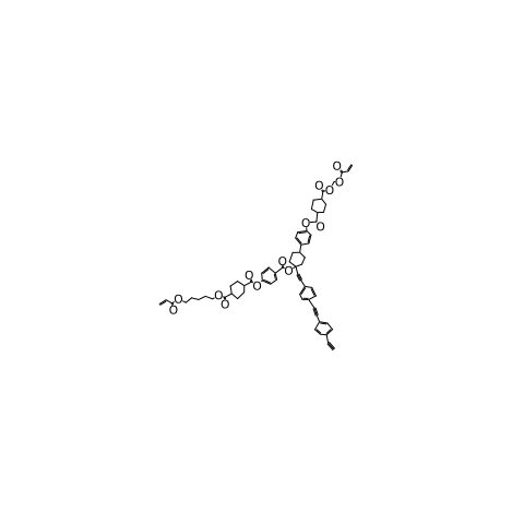 C#Cc1ccc(C#Cc2ccc(C#CC3(OC(=O)c4ccc(OC(=O)C5CCC(C(=O)OCCCCCOC(=O)C=C)CC5)cc4)CCC(c4ccc(OC(=O)C5CCC(C(=O)OCOC(=O)C=C)CC5)cc4)CC3)cc2)cc1